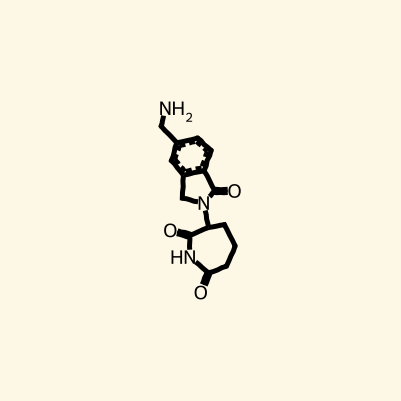 NCc1ccc2c(c1)CN(C1CCCC(=O)NC1=O)C2=O